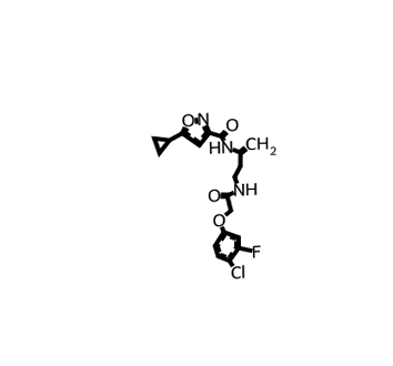 C=C(CCNC(=O)COc1ccc(Cl)c(F)c1)NC(=O)c1cc(C2CC2)on1